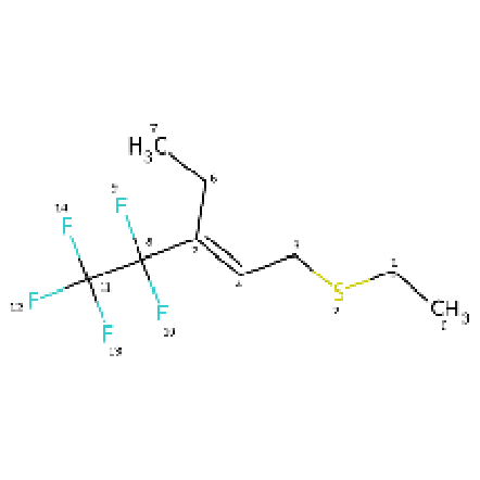 C[CH]SC/C=C(\CC)C(F)(F)C(F)(F)F